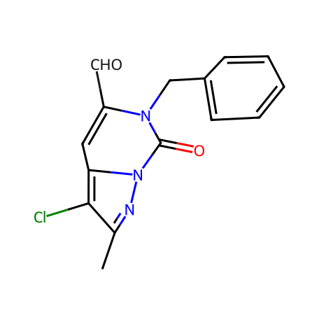 Cc1nn2c(=O)n(Cc3ccccc3)c(C=O)cc2c1Cl